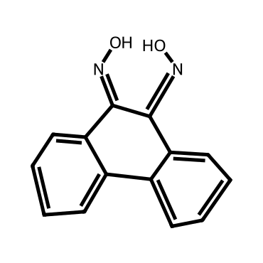 ON=C1C(=NO)c2ccccc2-c2ccccc21